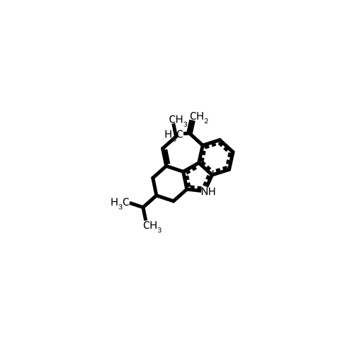 C=C(C)c1cccc2[nH]c3c(c12)/C(=C\CC)CC(C(C)C)C3